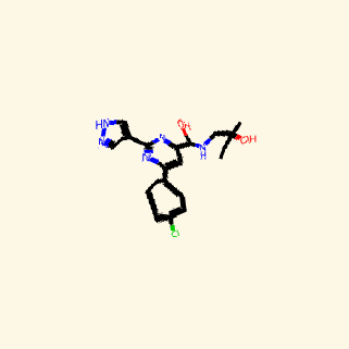 CC(C)(O)CNC(O)c1cc(-c2ccc(Cl)cc2)nc(-c2cn[nH]c2)n1